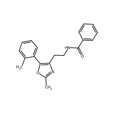 Cc1nc(CCNC(=O)c2ccccc2)c(-c2ccccc2C)o1